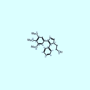 COc1cc(-c2ncn(CCO)c2-c2ccncc2)cc(OC)c1OC